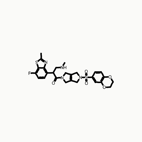 CNCC(C(=O)N1CC2=C(C1)CN(S(=O)(=O)c1ccc3c(c1)OCCO3)C2)c1ccc(F)c2sc(C)nc12